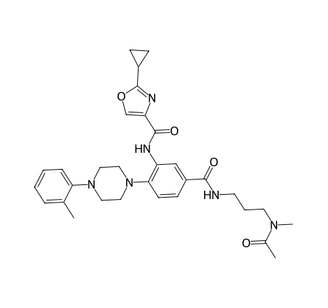 CC(=O)N(C)CCCNC(=O)c1ccc(N2CCN(c3ccccc3C)CC2)c(NC(=O)c2coc(C3CC3)n2)c1